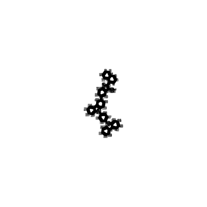 Brc1c(-c2cccc3ccccc23)sc2ccc(C3C=Cc4c(c5ccccc5n4-c4ccc(-n5c6ccccc6c6ccccc65)cc4)C3)cc12